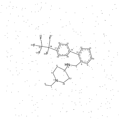 CCN1CCC(NCc2ccccc2-c2ccc(C(F)(F)C(F)(F)F)cc2)CC1